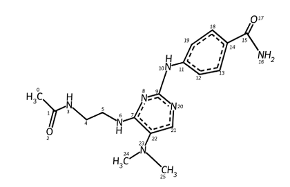 CC(=O)NCCNc1nc(Nc2ccc(C(N)=O)cc2)ncc1N(C)C